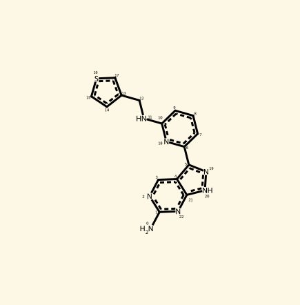 Nc1ncc2c(-c3cccc(NCc4ccsc4)n3)n[nH]c2n1